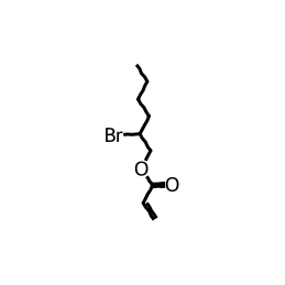 C=CC(=O)OCC(Br)CCCC